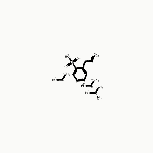 C=CCc1ccccc1S(=O)(=O)O.CCO.CCO.CCO.N